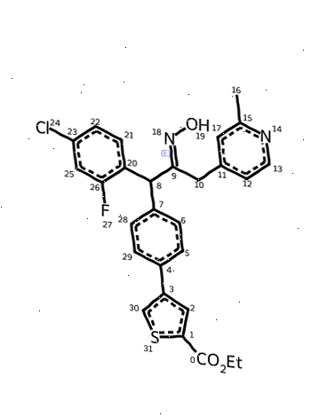 CCOC(=O)c1cc(-c2ccc(C(/C(Cc3ccnc(C)c3)=N/O)c3ccc(Cl)cc3F)cc2)cs1